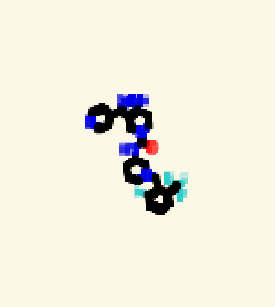 O=C(N[C@@H]1CCCN(Cc2c(F)cccc2C(F)(F)F)C1)N1CCc2[nH]nc(-c3ccncc3)c2C1